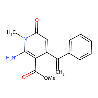 C=C(c1ccccc1)c1cc(=O)n(C)c(N)c1C(=O)OC